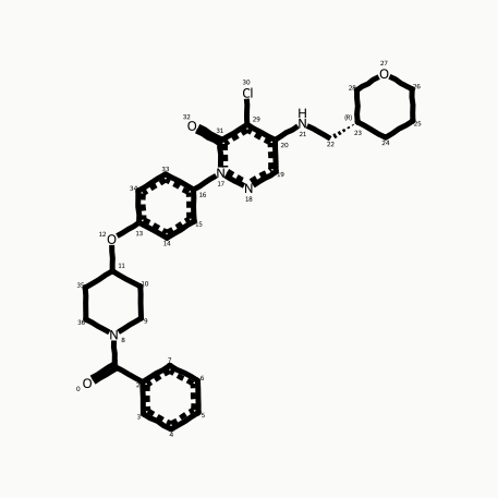 O=C(c1ccccc1)N1CCC(Oc2ccc(-n3ncc(NC[C@H]4CCCOC4)c(Cl)c3=O)cc2)CC1